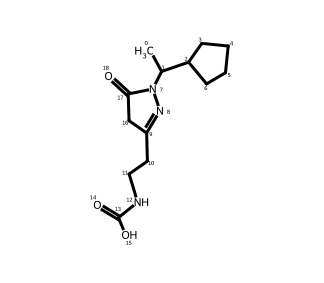 CC(C1CCCC1)N1N=C(CCNC(=O)O)CC1=O